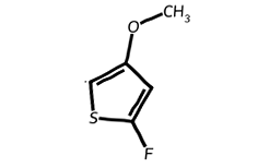 COc1[c]sc(F)c1